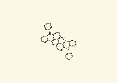 c1ccc(B2c3ccccc3-c3cc4ccc5c6c(cc7ccc2c3c7c46)-c2ccccc2B5c2ccccc2)cc1